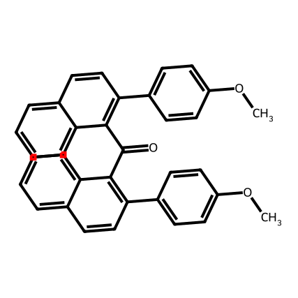 COc1ccc(-c2ccc3ccccc3c2C(=O)c2c(-c3ccc(OC)cc3)ccc3ccccc23)cc1